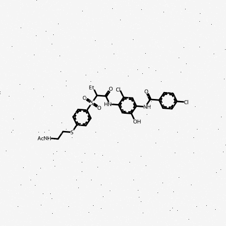 CCC(C(=O)Nc1cc(O)c(NC(=O)c2ccc(Cl)cc2)cc1Cl)S(=O)(=O)c1ccc(SCCNC(C)=O)cc1